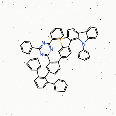 c1ccc(-c2nc(-c3ccccc3)nc(-c3cc(-c4c(-c5ccccc5)cccc4-c4ccccc4)ccc3-c3ccc4c(c3)sc3ccc5c6ccccc6n(-c6ccccc6)c5c34)n2)cc1